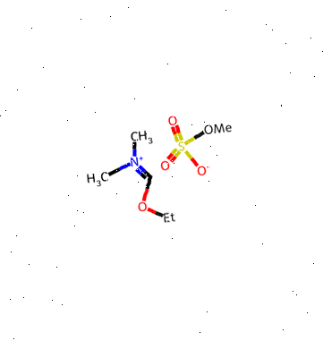 CCOC=[N+](C)C.COS(=O)(=O)[O-]